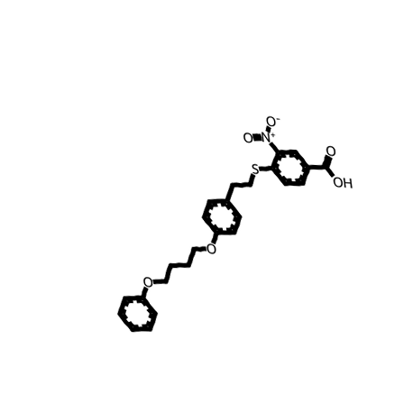 O=C(O)c1ccc(SCCc2ccc(OCCCCOc3ccccc3)cc2)c([N+](=O)[O-])c1